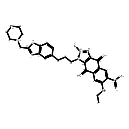 CCNc1cc2c(cc1[N+](=O)[O-])C(=O)c1n[n+]([O-])n(CCCc3ccc4sc(CN5CCNCC5)nc4c3)c1C2=O